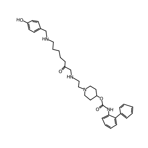 O=C(CCCCCNCc1ccc(O)cc1)CNCCN1CCC(OC(=O)Nc2ccccc2-c2ccccc2)CC1